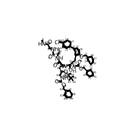 CNC(=O)CNC(=O)[C@@H]1Cc2cc(ccc2Cl)-c2ccc(OCc3ccccc3)c(c2)C[C@H](NC(=O)OCc2ccccc2)C(=O)N[C@@H](C[C@H](CNC(=O)OCc2ccccc2)O[Si](C)(C)C(C)(C)C)C(=O)N1